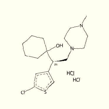 CN1CCN(C[C@@H](c2csc(Cl)c2)C2(O)CCCCC2)CC1.Cl.Cl